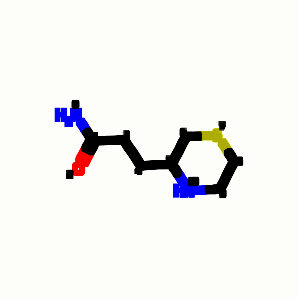 NC(=O)CCC1CSCCN1